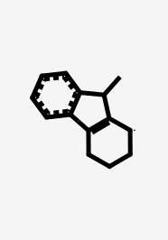 CC1C2=C(CCC[CH]2)c2ccccc21